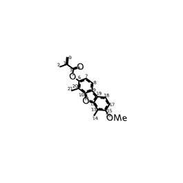 C=C(C)C(=O)Oc1ccc2c(oc3c(C)c(OC)ccc32)c1C